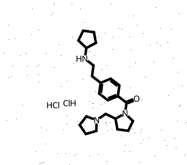 Cl.Cl.O=C(c1ccc(CCNC2CCCC2)cc1)N1CCCC1CN1CCCC1